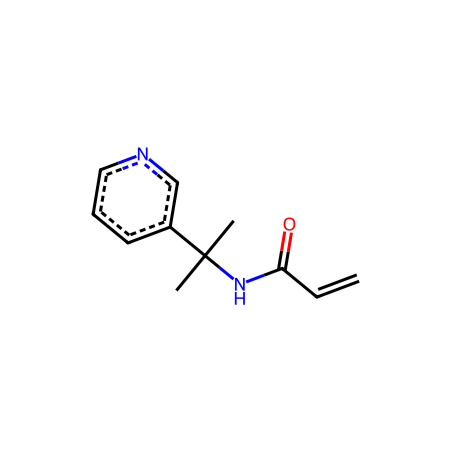 C=CC(=O)NC(C)(C)c1cccnc1